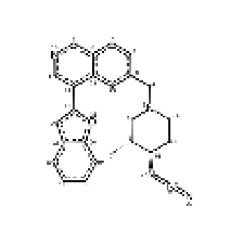 C[C@@H]1CN(Cc2ccc3cncc(-c4cc5ccccc5o4)c3c2)CC[C@H]1N=[N+]=[N-]